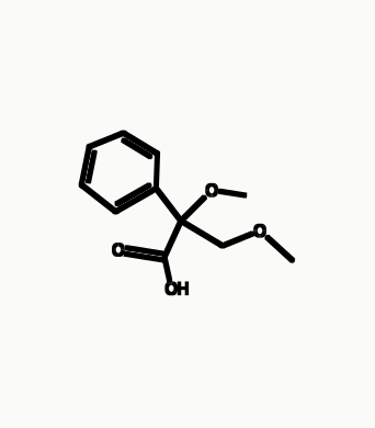 COCC(OC)(C(=O)O)c1ccccc1